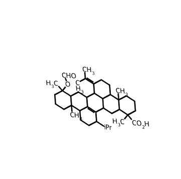 CC(C)=C1CCC2C3C(CC4C(C)(C(=O)O)CCCC24C)C2=C4C(CC5C(C)(OC=O)CCCC5(C)C4CCC2C(C)C)C13